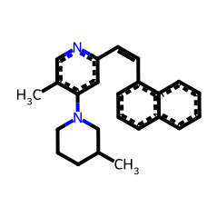 Cc1cnc(/C=C\c2cccc3ccccc23)cc1N1CCCC(C)C1